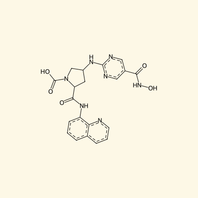 O=C(NO)c1cnc(NC2CC(C(=O)Nc3cccc4cccnc34)N(C(=O)O)C2)nc1